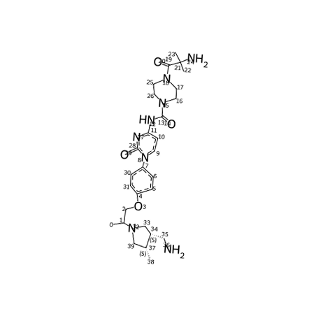 CC(COc1ccc(-n2ccc(NC(=O)N3CCN(C(=O)C(C)(C)N)CC3)nc2=O)cc1)N1C[C@H](CN)[C@H](C)C1